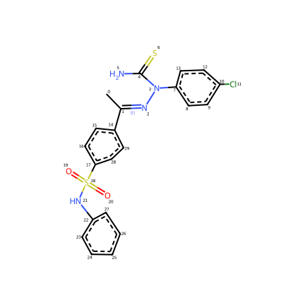 C/C(=N\N(C(N)=S)c1ccc(Cl)cc1)c1ccc(S(=O)(=O)Nc2ccccc2)cc1